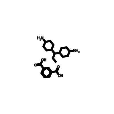 CCC(C1CCC(N)CC1)C1CCC(N)CC1.O=C(O)c1cccc(C(=O)O)c1